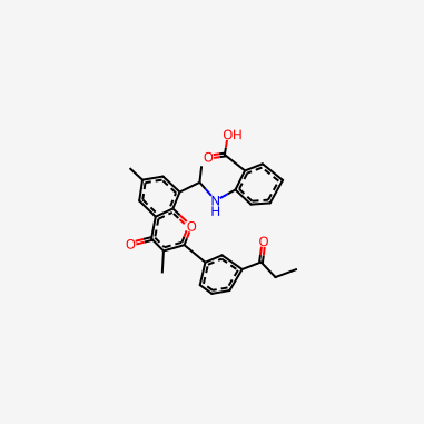 CCC(=O)c1cccc(-c2oc3c(C(C)Nc4ccccc4C(=O)O)cc(C)cc3c(=O)c2C)c1